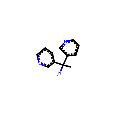 CC(N)(c1cccnc1)c1cccnc1